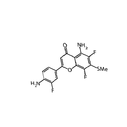 CSc1c(F)c(N)c2c(=O)cc(-c3ccc(N)c(F)c3)oc2c1F